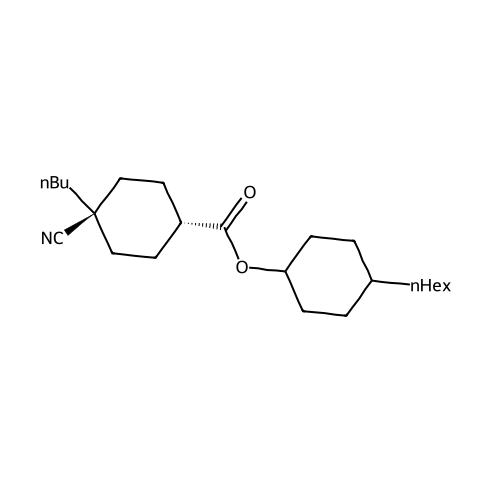 CCCCCCC1CCC(OC(=O)[C@H]2CC[C@@](C#N)(CCCC)CC2)CC1